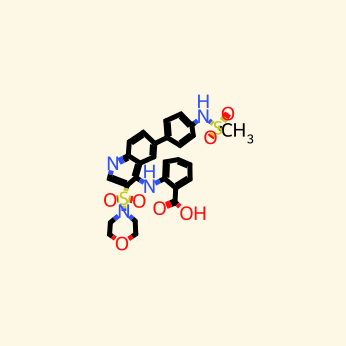 CS(=O)(=O)Nc1ccc(-c2ccc3ncc(S(=O)(=O)N4CCOCC4)c(Nc4ccccc4C(=O)O)c3c2)cc1